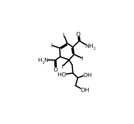 NC(=O)C1=C(I)C(I)(CC(O)C(O)CO)C(C(N)=O)C(I)=C1I